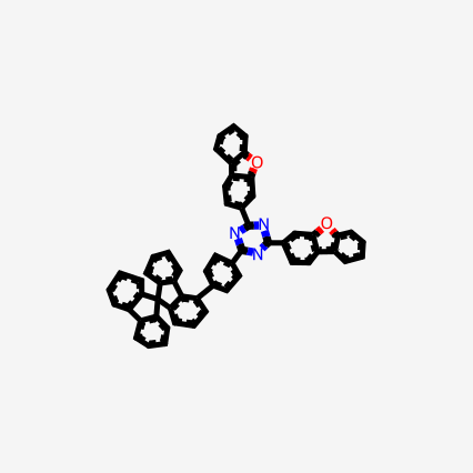 c1ccc2c(c1)-c1ccccc1C21c2ccccc2-c2c(-c3ccc(-c4nc(-c5ccc6c(c5)oc5ccccc56)nc(-c5ccc6c(c5)oc5ccccc56)n4)cc3)cccc21